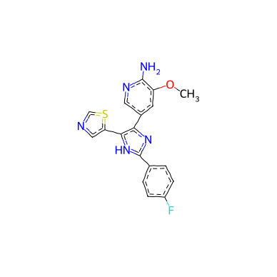 COc1cc(-c2nc(-c3ccc(F)cc3)[nH]c2-c2cncs2)cnc1N